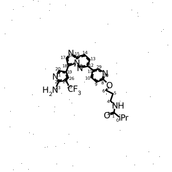 CC(C)C(=O)NCCCOc1ccc(-c2ccc3ncc(-c4cnc(N)c(C(F)(F)F)c4)n3n2)cn1